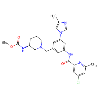 Cc1cn(-c2cc(CN3CCC[C@H](NC(=O)OC(C)(C)C)C3)cc(NC(=O)c3cc(Cl)cc(C)n3)c2)cn1